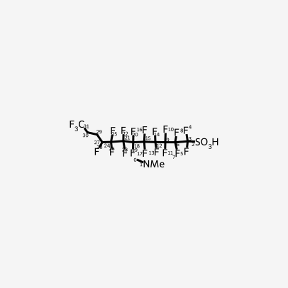 CNC.O=S(=O)(O)C(F)(F)C(F)(F)C(F)(F)C(F)(F)C(F)(F)C(F)(F)C(F)(F)C(F)(F)C(F)CCC(F)(F)F